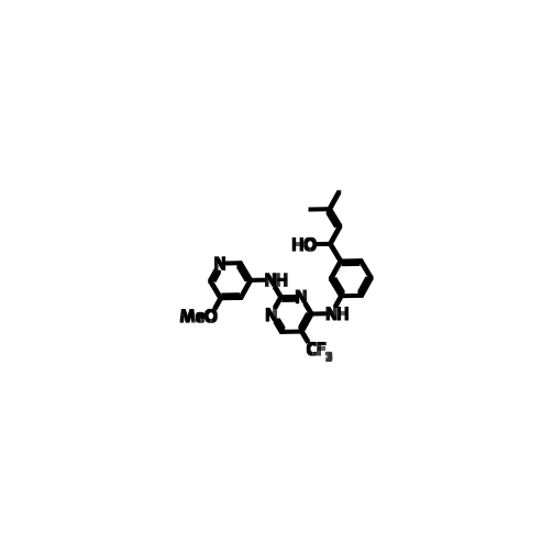 COc1cncc(Nc2ncc(C(F)(F)F)c(Nc3cccc(C(O)C=C(C)C)c3)n2)c1